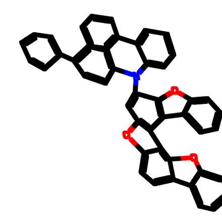 c1ccc(-c2ccc(N(c3ccccc3-c3ccccc3)c3cc4oc5ccc6c7ccccc7oc6c5c4c4c3oc3ccccc34)cc2)cc1